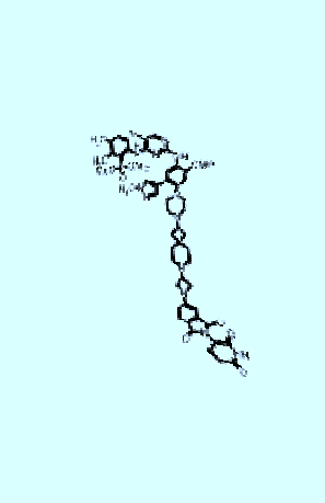 COc1cc(N2CCN(C3CC4(CCN(C5CN(c6ccc7c(c6)C(=O)N(C6CCC(=O)NC6=O)C7=O)C5)CC4)C3)CC2)c(-c2cnn(C)c2)cc1Nc1ncc(Br)c(Nc2ccc(C)c(C)c2P(=O)(OC)OC)n1